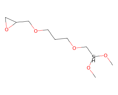 CO[SiH](COCCCOCC1CO1)OC